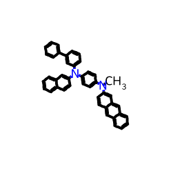 CN(c1ccc(N(c2cccc(-c3ccccc3)c2)c2ccc3ccccc3c2)cc1)c1ccc2cc3ccccc3cc2c1